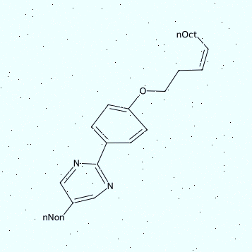 CCCCCCCC/C=C\CCOc1ccc(-c2ncc(CCCCCCCCC)cn2)cc1